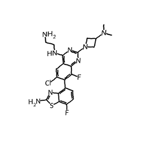 CN(C)C1CN(c2nc(NCCN)c3cc(Cl)c(-c4ccc(F)c5sc(N)nc45)c(F)c3n2)C1